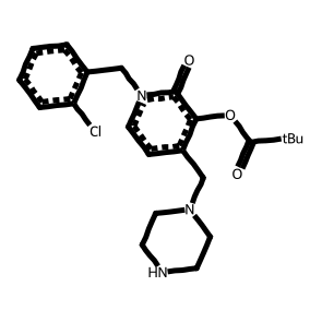 CC(C)(C)C(=O)Oc1c(CN2CCNCC2)ccn(Cc2ccccc2Cl)c1=O